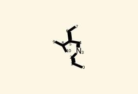 C\C=C/N=C\C(=C/C)C(C)C